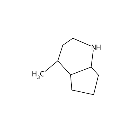 CC1CCNC2CCCC12